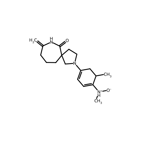 C=C1CCCC2(CCN(C3=CC=C([NH+](C)[O-])C(C)C3)C2)C(=O)N1